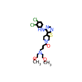 COCCN(C/C=C/C(=O)N1CCc2c(sc3ncnc(Nc4ccc(Cl)c(Cl)c4)c23)C1)CCOC